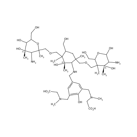 CN(CC(=O)O)Cc1cc(CNC2C(C)(COCC3(C)C(CO)OC(O)C(N)[C@]3(C)O)CC(CO)C(C)(COCC3(C)OC(CO)C(O)[C@@](C)(O)C3N)[C@@]2(C)O)cc(CN(C)CC(=O)O)c1O